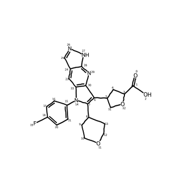 O=C(O)C1CC(c2c(C3CCOCC3)n(-c3ccc(F)cc3)c3cc4cn[nH]c4nc23)CO1